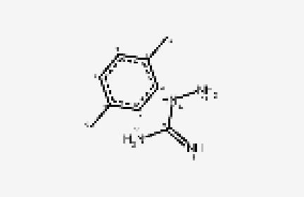 Cc1ccc(C)cc1.N=C(N)NN